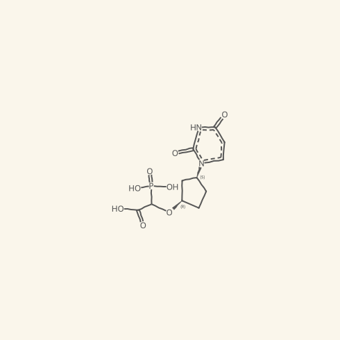 O=C(O)C(O[C@@H]1CC[C@H](n2ccc(=O)[nH]c2=O)C1)P(=O)(O)O